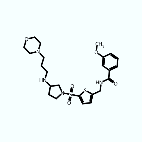 COc1cccc(C(=O)NCc2ccc(S(=O)(=O)N3CCC(NCCCN4CCOCC4)C3)s2)c1